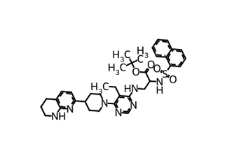 CCc1c(NCC(NS(=O)(=O)c2cccc3ccccc23)C(=O)OC(C)(C)C)ncnc1N1CCC(c2ccc3c(n2)NCCC3)CC1